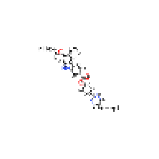 CCCCCCCc1cnc(-c2ccc(OC(=O)c3ccc(-c4cc([N+](=O)[O-])c(OC(C)CCCCCC)cc4N)cc3)cc2)nc1